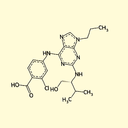 CCCn1cnc2c(Nc3ccc(C(=O)O)c(Cl)c3)nc(N[C@@H](CO)C(C)C)nc21